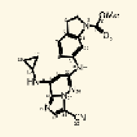 COC(=O)N1CCc2ccc(Nc3cc(NC4CC4)c4ncc(C#N)n4n3)cc21